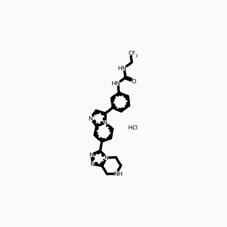 Cl.O=C(NCC(F)(F)F)Nc1cccc(-c2cnc3cc(-c4nnc5n4CCNC5)ccn23)c1